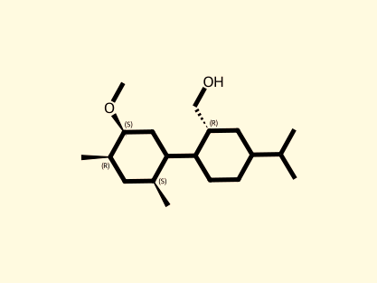 CO[C@H]1CC(C2CCC(C(C)C)C[C@H]2CO)[C@@H](C)C[C@H]1C